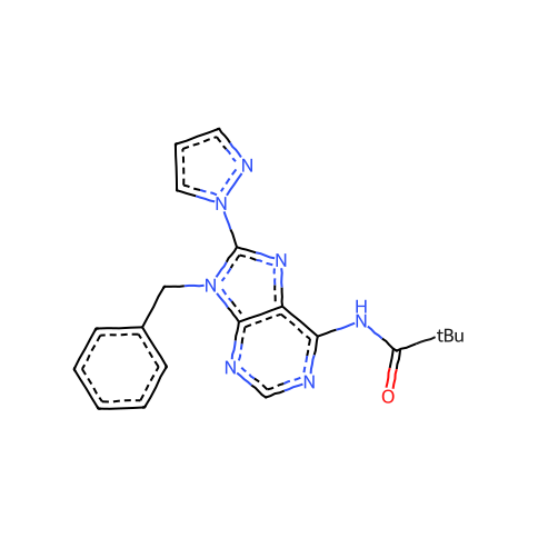 CC(C)(C)C(=O)Nc1ncnc2c1nc(-n1cccn1)n2Cc1ccccc1